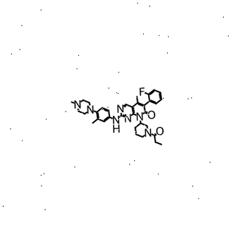 CCC(=O)N1CCCC(n2c(=O)c(-c3ccccc3F)c(C)c3cnc(Nc4ccc(N5CCN(C)CC5)c(C)c4)nc32)C1